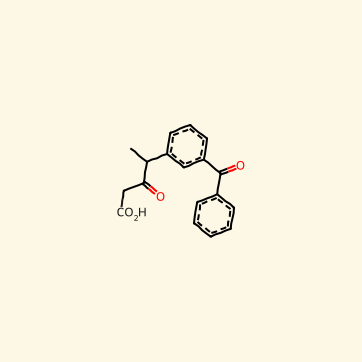 CC(C(=O)CC(=O)O)c1cccc(C(=O)c2ccccc2)c1